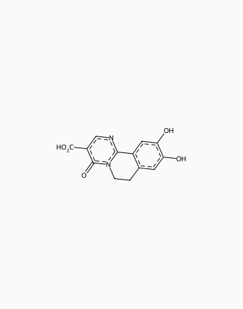 O=C(O)c1cnc2n(c1=O)CCc1cc(O)c(O)cc1-2